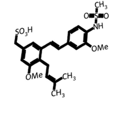 COc1cc(C=Cc2cc(CS(=O)(=O)O)cc(OC)c2CC=C(C)C)ccc1NS(C)(=O)=O